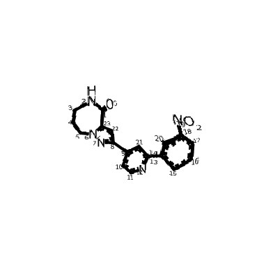 O=C1NCCCn2nc(-c3ccnc(-c4cccc([N+](=O)[O-])c4)c3)cc21